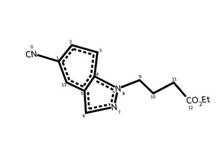 [C-]#[N+]c1ccc2c(cnn2CCCC(=O)OCC)c1